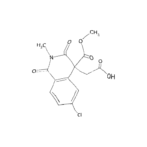 COC(=O)C1(CC(=O)O)C(=O)N(C)C(=O)c2ccc(Cl)cc21